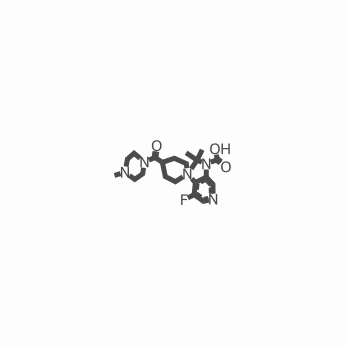 CN1CCN(C(=O)C2CCN(c3c(F)cncc3N(C(=O)O)C(C)(C)C)CC2)CC1